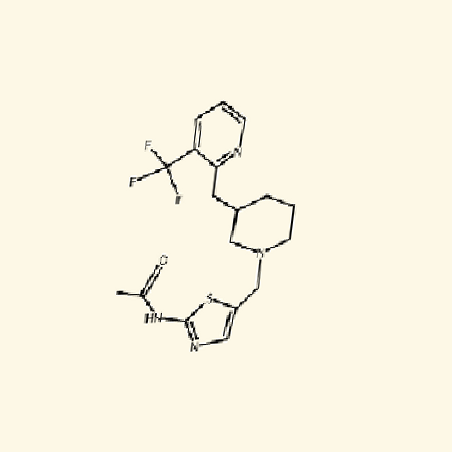 CC(=O)Nc1ncc(CN2CCCC(Cc3ncccc3C(F)(F)F)C2)s1